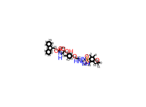 Cc1c(C)c(S(=O)(=O)NC(=N)NCCOc2ccc(C[C@H](NC(=O)OCC3c4ccccc4-c4ccccc43)C(=O)O)cc2)c(C)c2c1OC(C)(C)C2